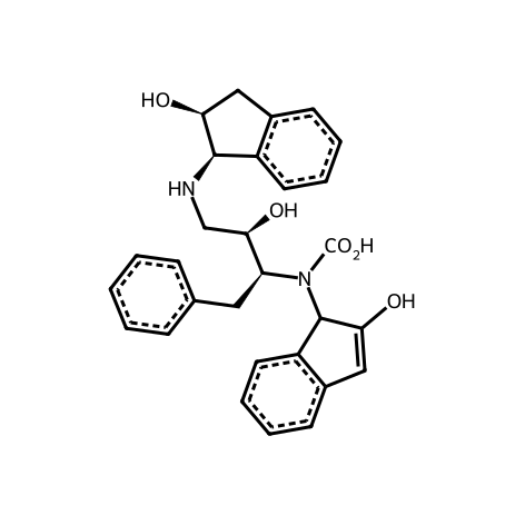 O=C(O)N(C1C(O)=Cc2ccccc21)[C@@H](Cc1ccccc1)[C@H](O)CN[C@@H]1c2ccccc2C[C@@H]1O